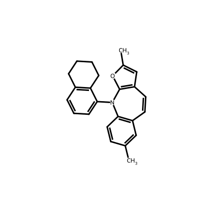 Cc1ccc2c(c1)C=Cc1cc(C)oc1N2c1cccc2c1CCCC2